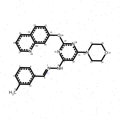 Cc1cccc(/C=N/Nc2cc(N3CCOCC3)nc(Oc3ccc4cccnc4c3)n2)c1